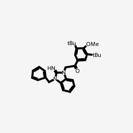 COc1c(C(C)(C)C)cc(C(=O)Cn2c(=N)n(Cc3ccccc3)c3ccccc32)cc1C(C)(C)C